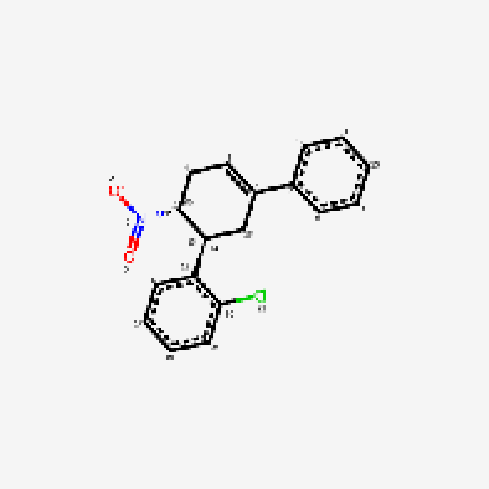 O=[N+]([O-])[C@@H]1CC=C(c2ccccc2)C[C@H]1c1ccccc1Cl